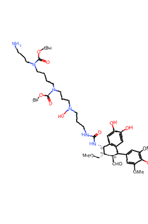 COC[C@@H]1[C@H](NC(=O)NCCCN(O)CCCN(CCCCN(CCCN)C(=O)OC(C)(C)C)C(=O)OC(C)(C)C)c2cc(O)c(O)cc2C(c2cc(OC)c(O)c(OC)c2)[C@H]1C=O